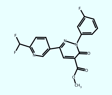 COC(=O)c1cc(-c2ccc(C(F)F)nc2)nn(-c2cccc(F)c2)c1=O